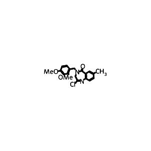 COc1ccc(CN2CC(Cl)=Nc3ccc(C)cc3C2=O)c(OC)c1